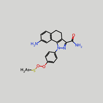 NC(=O)c1nn(-c2ccc(OOS[AsH2])cc2)c2c1CCc1ccc(N)cc1-2